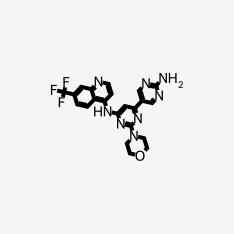 Nc1ncc(-c2cc(Nc3ccnc4cc(C(F)(F)F)ccc34)nc(N3CCOCC3)n2)cn1